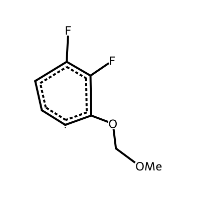 COCOc1[c]ccc(F)c1F